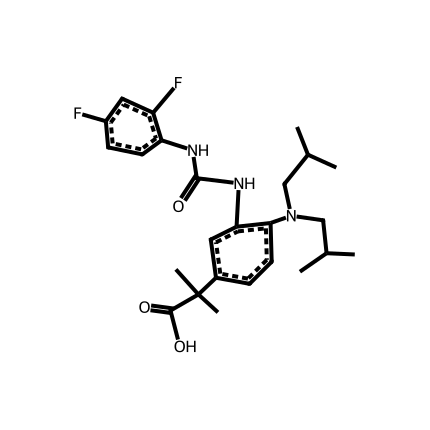 CC(C)CN(CC(C)C)c1ccc(C(C)(C)C(=O)O)cc1NC(=O)Nc1ccc(F)cc1F